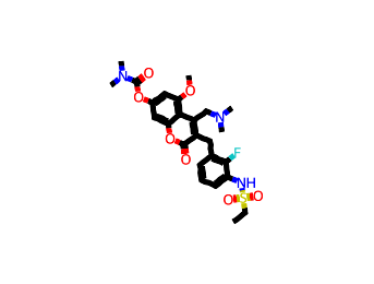 CCS(=O)(=O)Nc1cccc(Cc2c(CN(C)C)c3c(OC)cc(OC(=O)N(C)C)cc3oc2=O)c1F